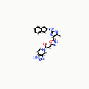 Cc1[nH]c(NC2Cc3ccccc3C2)nc1-c1nnc(CC(=O)N2CCc3[nH]nnc3C2)o1